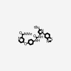 CNC(=O)c1cc(Oc2ccc(NC(=O)Nc3cc(C(C)(C)C)nn3-c3ccc4scnc4c3)cc2)ccn1